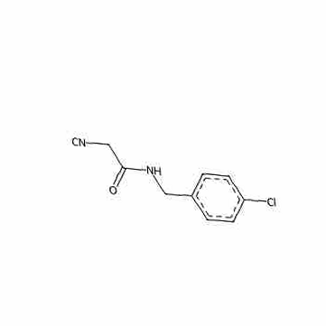 [C-]#[N+]CC(=O)NCc1ccc(Cl)cc1